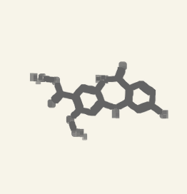 COC(=O)c1cc2c(cc1OC)Nc1cc(Cl)ccc1C(=O)N2